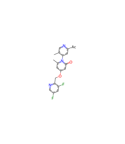 CC(=O)c1cc(-n2c(C)cc(OCc3ncc(F)cc3F)cc2=O)c(C)cn1